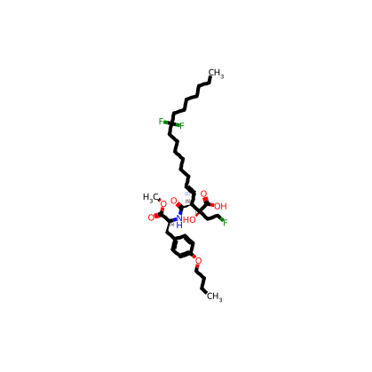 CCCCCCCC(F)(F)CCCCCC/C=C/[C@H](C(=O)N[C@@H](Cc1ccc(OCCCC)cc1)C(=O)OC)[C@@](O)(CCF)C(=O)O